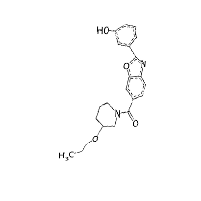 CCCOC1CCCN(C(=O)c2ccc3nc(-c4cccc(O)c4)oc3c2)C1